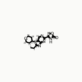 CCc1nc2nc(-c3noc(=O)[nH]3)ncc2n1C1CCOCC1